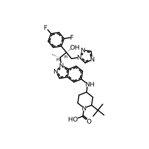 C[C@@H](n1ncc2cc(NC3CCN(C(=O)O)C(C(C)(C)C)C3)ccc21)[C@](O)(Cn1cncn1)c1ccc(F)cc1F